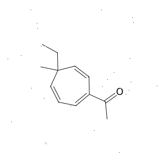 CCC1(C)C=CC=C(C(C)=O)C=C1